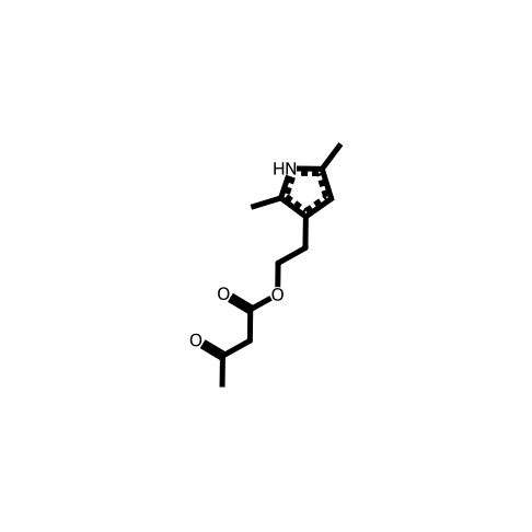 CC(=O)CC(=O)OCCc1cc(C)[nH]c1C